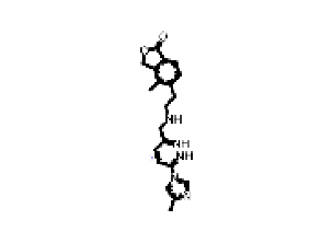 Cc1cn(C(=N)/C=C\C(=N)CNCCc2ccc3c(c2C)COC3=O)cn1